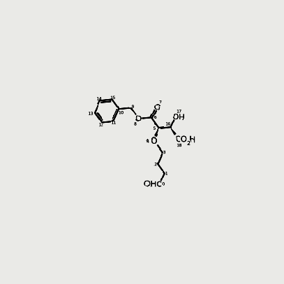 O=CCCCO[C@@H](C(=O)OCc1ccccc1)[C@@H](O)C(=O)O